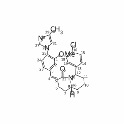 COc1cc(C=C2CC[C@H]3CCCC(c4ccc(Cl)cc4)N3C2=O)ccc1-n1cnc(C)c1